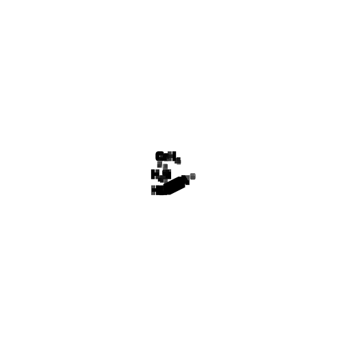 N#[SiH].[GeH4].[SiH4]